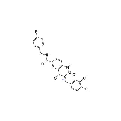 CN1c2ccc(C(=O)NCc3ccc(F)cc3)cc2C(=O)/C(=C/c2ccc(Cl)c(Cl)c2)[S+]1[O-]